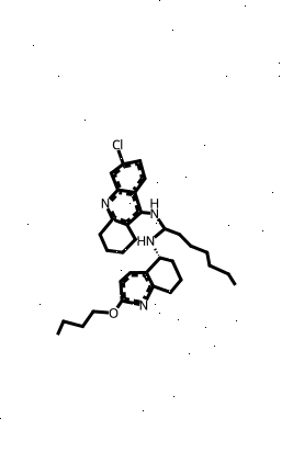 CCCCCCC(Nc1c2c(nc3cc(Cl)ccc13)CCCC2)N[C@@H]1CCCc2nc(OCCCC)ccc21